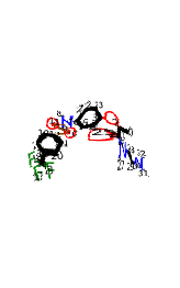 CC(O[C@H]1CC[C@H](N(C)S(=O)(=O)c2ccc(C(F)(F)F)cc2)CC1)C(=O)N(C)CCN(C)C